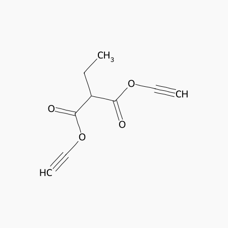 C#COC(=O)C(CC)C(=O)OC#C